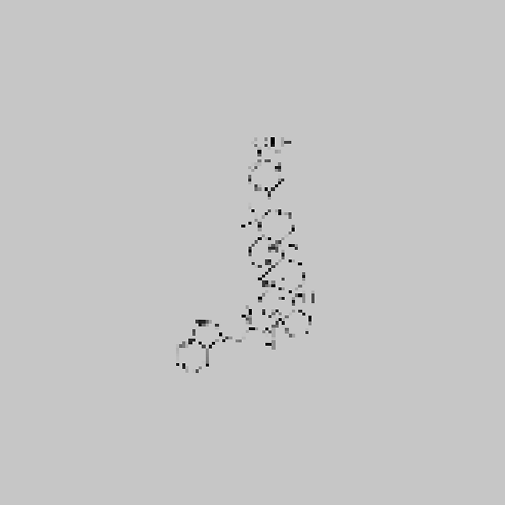 CC1(C)C(c2ccc(C(=O)O)cc2)=CC[C@@]2(C)C1CC[C@]1(C)C2CC[C@@H]2C3CCC[C@]3(NC(=O)Cn3ccc4ccccc43)CC[C@]21C